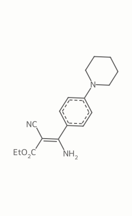 CCOC(=O)/C(C#N)=C(\N)c1ccc(N2CCCCC2)cc1